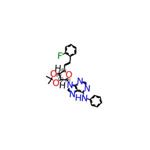 CC1(C)O[C@H]2[C@H](O1)[C@@H](C=Cc1ccccc1F)O[C@H]2n1cnc2c(Nc3ccccc3)ncnc21